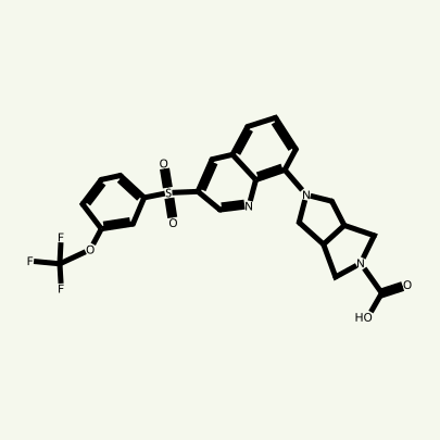 O=C(O)N1CC2CN(c3cccc4cc(S(=O)(=O)c5cccc(OC(F)(F)F)c5)cnc34)CC2C1